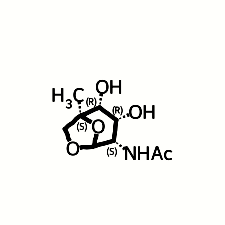 CC(=O)N[C@@H]1C2OC[C@](C)(O2)[C@H](O)[C@@H]1O